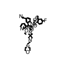 CCOc1ncccc1[C@@]1(NC(=O)N2CC3(CN(CCN4CCOCC4)C3)C2)C(=O)N(S(=O)(=O)c2ccc(F)cc2OC)c2ccc(C#N)cc21